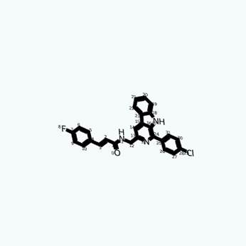 O=C(/C=C/c1ccc(F)cc1)NCc1cc2c([nH]c3ccccc32)c(-c2ccc(Cl)cc2)n1